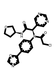 O=C(N[C@H]1CCOC1)[C@@H](c1cncnc1)N(C(=O)CCl)c1ccc(-c2cnco2)cc1